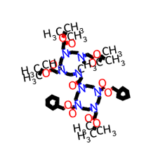 CC(C)(C)OC(=O)CN1CCN(CC(=O)OC(C)(C)C)CCN(CC(=O)N2CCN(C(=O)OCc3ccccc3)CCN(CC(=O)OC(C)(C)C)CCN(C(=O)OCc3ccccc3)CC2)CCN(CC(=O)OC(C)(C)C)CC1